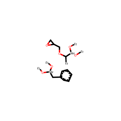 CCO[SiH](Cc1ccccc1)OCC.CCO[SiH](OCC)C(CC)OCC1CO1